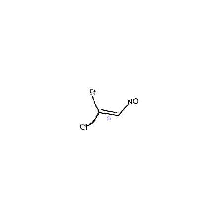 CC/C(Cl)=C\N=O